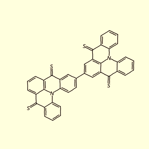 S=c1c2ccccc2n2c3ccc(-c4cc5c(=S)c6ccccc6n6c7ccccc7c(=S)c(c4)c56)cc3c(=S)c3cccc1c32